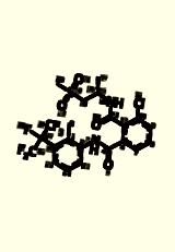 Cc1c(NC(=O)c2cccc(Cl)c2C(=O)N[C@H](C)CS(C)(=O)=O)cccc1C(F)(C(F)(F)F)C(F)(F)F